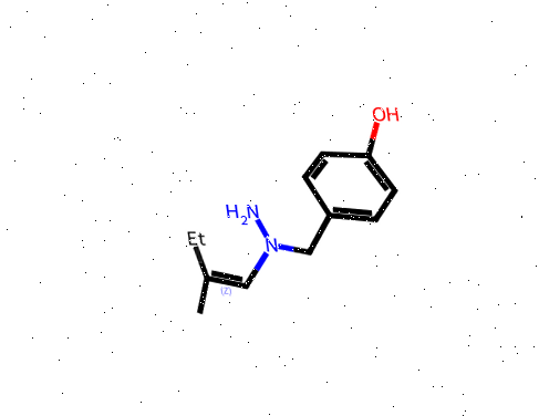 CC/C(C)=C\N(N)Cc1ccc(O)cc1